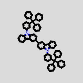 c1ccc(C(c2ccccc2)(c2ccccc2)c2cccc(-n3c4ccccc4c4cc(-c5ccc6c(c5)c5ccccc5n6-c5cccc(C(c6ccccc6)(c6ccccc6)c6ccccc6)c5)ccc43)c2)cc1